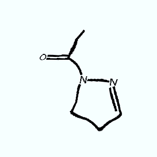 CC(=O)N1CCC=N1